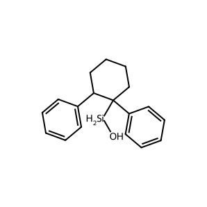 O[SiH2]C1(c2ccccc2)CCCCC1c1ccccc1